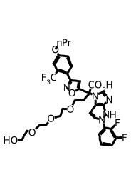 CCCOc1ccc(-c2cc(C(CCOCCOCCOCCO)(C(=O)O)n3cnc4c3C=CN(c3cccc(F)c3F)N4)on2)c(C(F)(F)F)c1